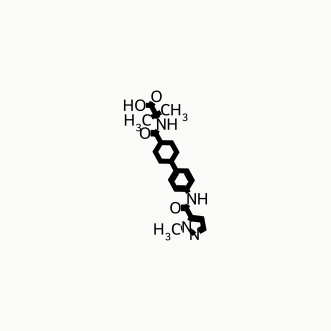 Cn1nccc1C(=O)Nc1ccc(C2CCC(C(=O)NC(C)(C)C(=O)O)CC2)cc1